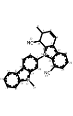 CC1C=Cc2c(n(-c3ccc4c5ccccc5n(C)c4c3)c3c(C#N)cccc23)C1C#N